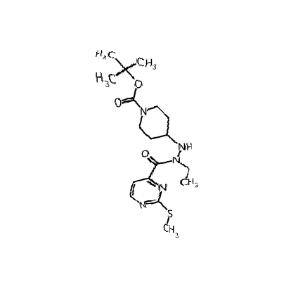 CCN(NC1CCN(C(=O)OC(C)(C)C)CC1)C(=O)c1ccnc(SC)n1